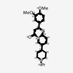 COc1ccc(-c2cc(=O)n3cc(C4=CCN(C(C)C)CC4)ccc3n2)cc1OC